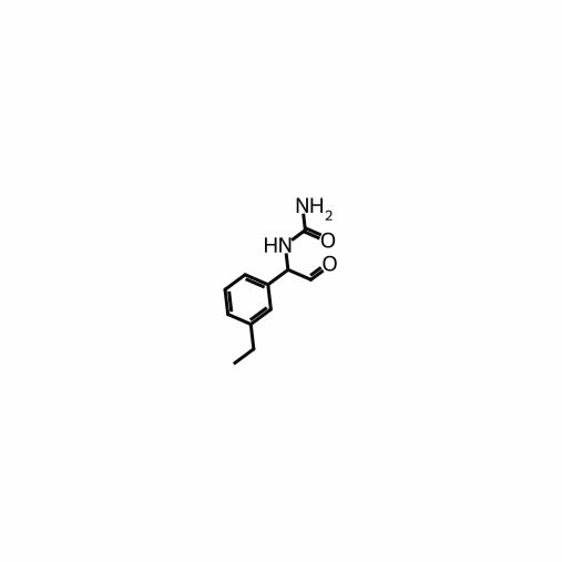 CCc1cccc(C(C=O)NC(N)=O)c1